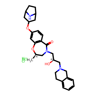 C[C@@H]1CN(C[C@H](O)CN2CCc3ccccc3C2)C(=O)c2ccc(OC3CC4CCC(C3)N4)cc2O1.Cl.Cl